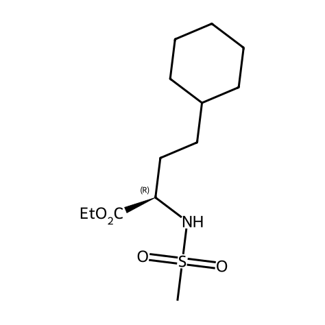 CCOC(=O)[C@@H](CCC1CCCCC1)NS(C)(=O)=O